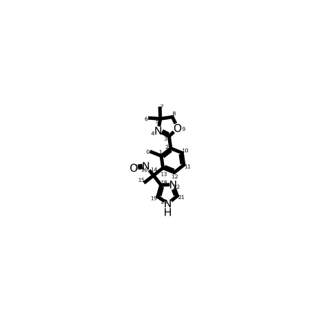 Cc1c(C2=NC(C)(C)CO2)cccc1C(C)(N=O)c1c[nH]cn1